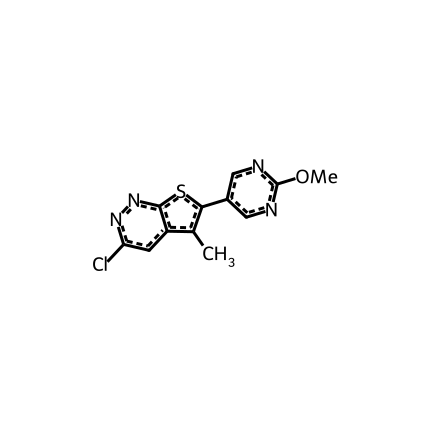 COc1ncc(-c2sc3nnc(Cl)cc3c2C)cn1